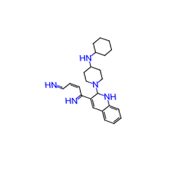 N=C/C=C\C(=N)C1=Cc2ccccc2NC1N1CCC(NC2CCCCC2)CC1